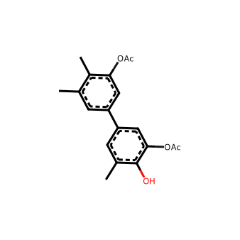 CC(=O)Oc1cc(-c2cc(C)c(O)c(OC(C)=O)c2)cc(C)c1C